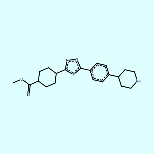 COC(=O)C1CCC(c2nnc(-c3ccc(C4CCNCC4)cc3)s2)CC1